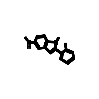 CNc1ccc2c(c1)cc(-c1ccccc1C)n2C